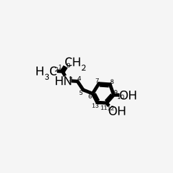 C=C(C)NCCc1ccc(O)c(O)c1